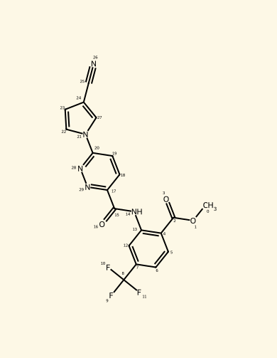 COC(=O)c1ccc(C(F)(F)F)cc1NC(=O)c1ccc(-n2ccc(C#N)c2)nn1